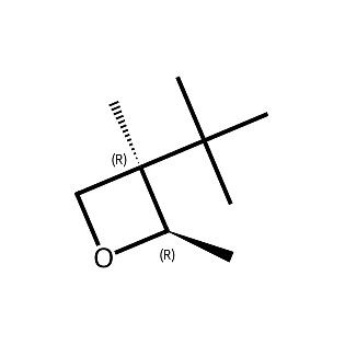 C[C@H]1OC[C@@]1(C)C(C)(C)C